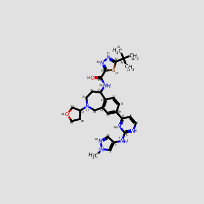 Cn1cc(Nc2nccc(-c3ccc4c(c3)CN(C3CCOC3)CCC4NC(=O)c3nnc(C(C)(C)C)s3)n2)cn1